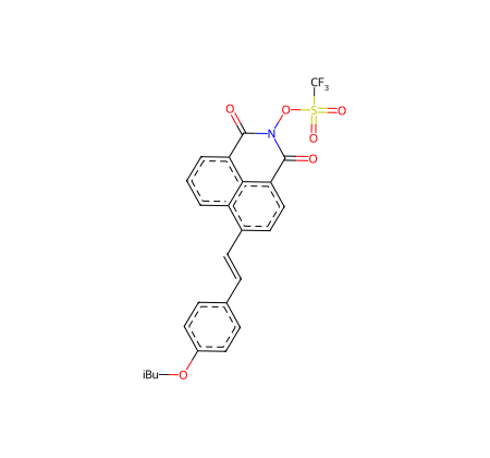 CCC(C)Oc1ccc(C=Cc2ccc3c4c(cccc24)C(=O)N(OS(=O)(=O)C(F)(F)F)C3=O)cc1